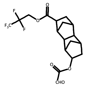 O=CC(=O)OC1CC2CC1C1C3CC(CC3C(=O)OCC(F)(F)C(F)(F)F)C21